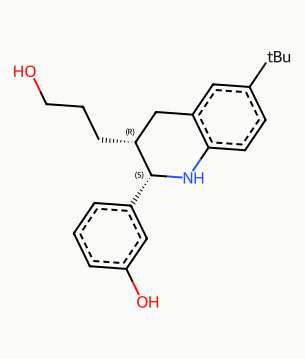 CC(C)(C)c1ccc2c(c1)C[C@@H](CCCO)[C@@H](c1cccc(O)c1)N2